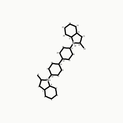 CC1CC2CCCCC2N1C1CCC(C2CCC(N3C(C)CC4CCCCC43)CC2)CC1